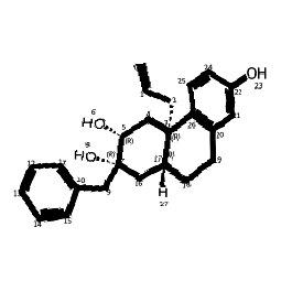 C=CC[C@@]12C[C@@H](O)[C@](O)(Cc3ccccc3)C[C@H]1CCc1cc(O)ccc12